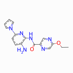 CCOc1cnc(C(=O)Nc2nc(-n3cccc3)ccc2N)cn1